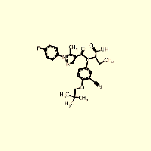 CCC(C(=O)O)N(C(=O)c1cnn(-c2ccc(F)cc2)c1C)c1ccc(OCC(C)(C)C)c(C#N)c1